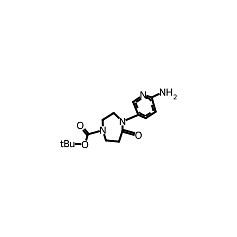 CC(C)(C)OC(=O)N1CCC(=O)N(c2ccc(N)nc2)CC1